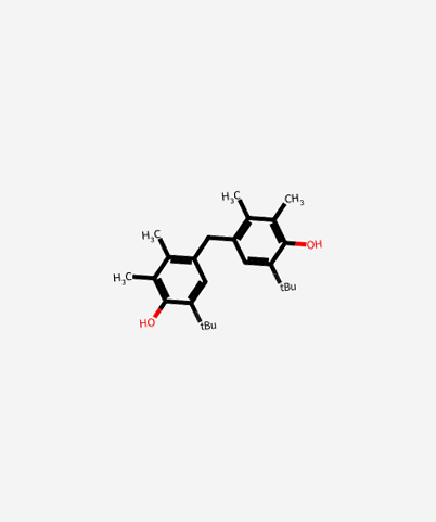 Cc1c(Cc2cc(C(C)(C)C)c(O)c(C)c2C)cc(C(C)(C)C)c(O)c1C